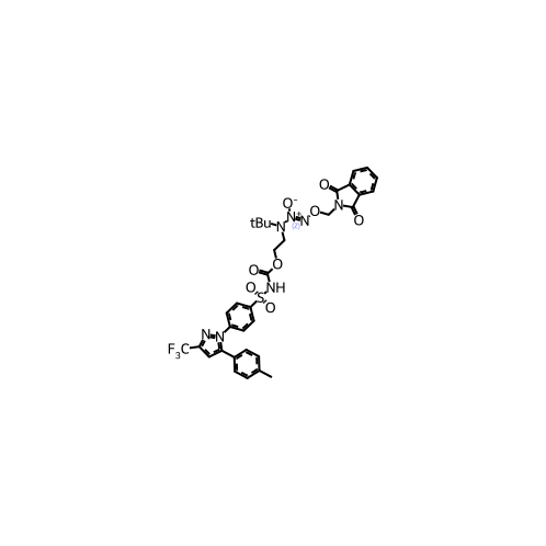 Cc1ccc(-c2cc(C(F)(F)F)nn2-c2ccc(S(=O)(=O)NC(=O)OCCN(/[N+]([O-])=N/OCN3C(=O)c4ccccc4C3=O)C(C)(C)C)cc2)cc1